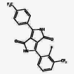 O=C1NC(c2cccc(C(F)(F)F)c2F)=C2C(=O)NC(c3ccc(C(F)(F)F)cc3)=C12